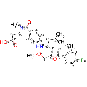 COCc1oc(-c2ccc(F)cc2C)cc1C(CC(C)C)Nc1ccc(C(=O)N(C)CCC(=O)O)cc1